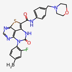 Bc1ccc(N2C(=O)Nc3c(C(=O)Nc4ccc(CN5CCOCC5)cc4)sc4ncnc2c34)c(F)c1